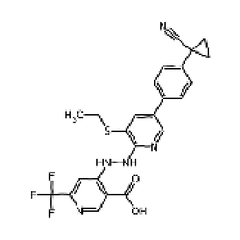 CCSc1cc(-c2ccc(C3(C#N)CC3)cc2)cnc1NNc1cc(C(F)(F)F)ncc1C(=O)O